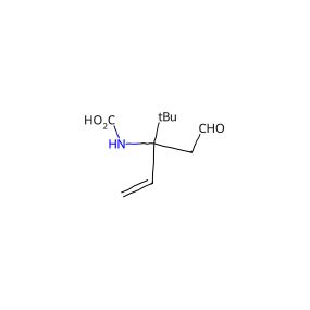 C=CC(CC=O)(NC(=O)O)C(C)(C)C